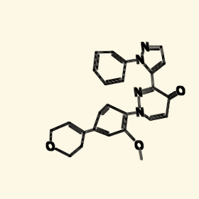 COc1cc(C2=CCOCC2)ccc1-n1ccc(=O)c(-c2ccnn2-c2ccccc2)n1